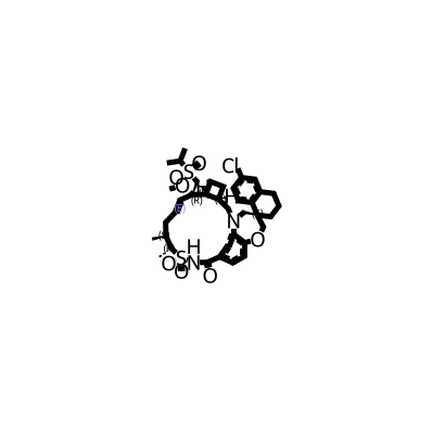 CO[C@@]1(CS(=O)(=O)C(C)C)/C=C/C[C@H](C)[C@@H](C)S(=O)(=O)NC(=O)c2ccc3c(c2)N(C[C@@H]2CC[C@H]21)C[C@@]1(CCCc2cc(Cl)ccc21)CO3